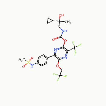 CC(O)(CNC(=O)Oc1nc(-c2ccc(NS(C)(=O)=O)cc2)c(OCC(F)(F)F)nc1C(F)(F)F)C1CC1